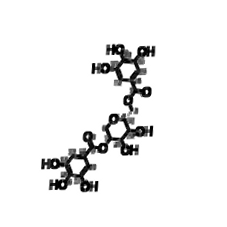 O=C(OC[C@H]1OCC(OC(=O)c2cc(O)c(O)c(O)c2)C(O)C1O)c1cc(O)c(O)c(O)c1